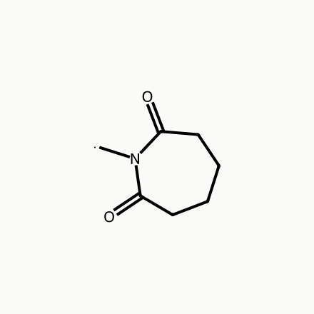 [CH2]N1C(=O)CCCCC1=O